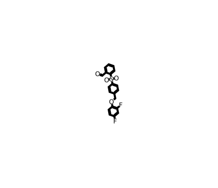 O=Cc1ccccc1S(=O)(=O)c1ccc(COc2ccc(F)cc2F)cc1